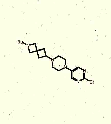 CCc1ncc(N2CCN(C3CC4(C3)CN(C(C)CC)C4)CC2)cn1